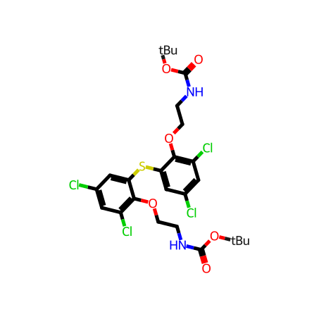 CC(C)(C)OC(=O)NCCOc1c(Cl)cc(Cl)cc1Sc1cc(Cl)cc(Cl)c1OCCNC(=O)OC(C)(C)C